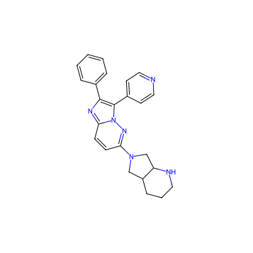 c1ccc(-c2nc3ccc(N4CC5CCCNC5C4)nn3c2-c2ccncc2)cc1